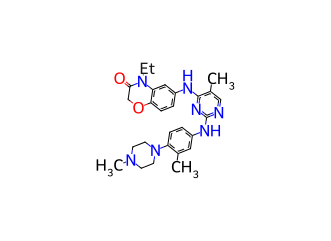 CCN1C(=O)COc2ccc(Nc3nc(Nc4ccc(N5CCN(C)CC5)c(C)c4)ncc3C)cc21